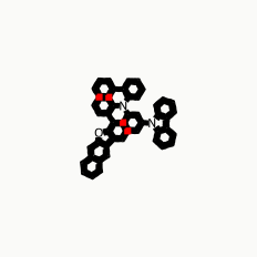 c1ccc(-c2ccccc2N(c2cccc(-n3c4ccccc4c4ccccc43)c2)c2ccccc2-c2cccc3c2oc2cc4ccccc4cc23)cc1